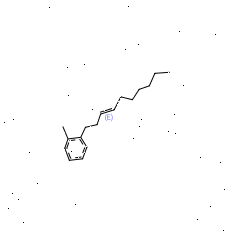 CCCCCC/C=C/CCc1ccccc1C